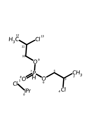 CC(C)Cl.CC(Cl)CO[PH](=O)OCC(C)Cl